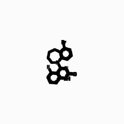 O=c1nc(N2CCCCc3c(Br)cccc32)c2c(F)cccc2[nH]1